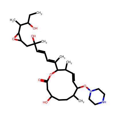 CCC(O)C(C)C1OC1CC(C)(O)/C=C/C=C(\C)C1OC(=O)CC(O)CCC(C)C(ON2CCNCC2)/C=C/C1C